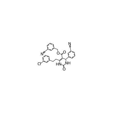 N#Cc1cccc(COC(=O)C2=C(CCc3cccc(Cl)c3)NC(=O)NC2c2cccc(C#N)c2)c1